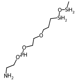 C[SiH2]O[SiH2]CCCOCCOPOCCN